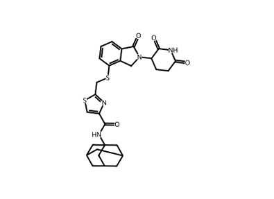 O=C1CCC(N2Cc3c(SCc4nc(C(=O)NC56CC7CC(CC(C7)C5)C6)cs4)cccc3C2=O)C(=O)N1